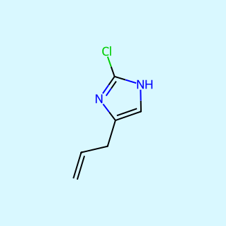 C=CCc1c[nH]c(Cl)n1